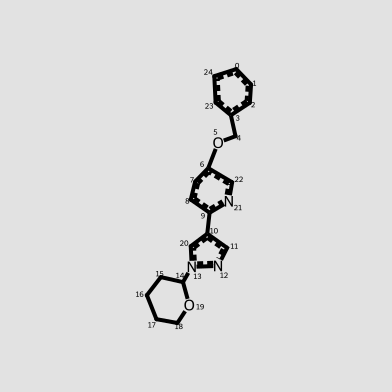 c1ccc(COc2ccc(-c3cnn(C4CCCCO4)c3)nc2)cc1